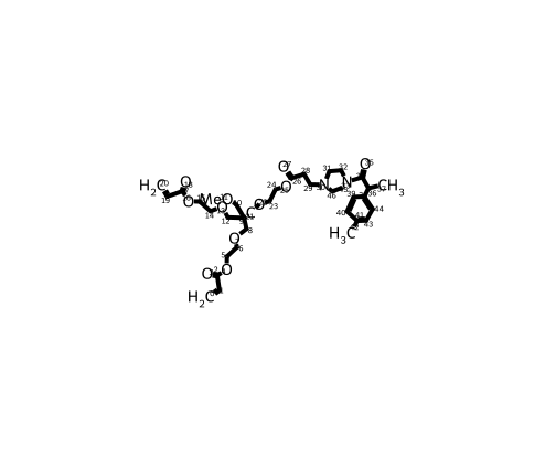 C=CC(=O)OCCOCC(COC)(COCCOC(=O)C=C)COCCOC(=O)CCN1CCN(C(=O)C(C)c2ccc(C)cc2)CC1